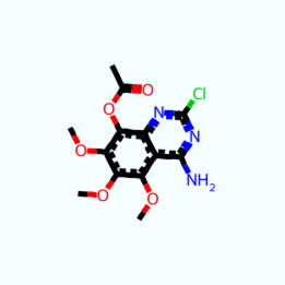 COc1c(OC)c(OC)c2c(N)nc(Cl)nc2c1OC(C)=O